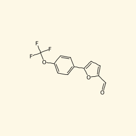 O=Cc1ccc(-c2ccc(OC(F)(F)F)cc2)o1